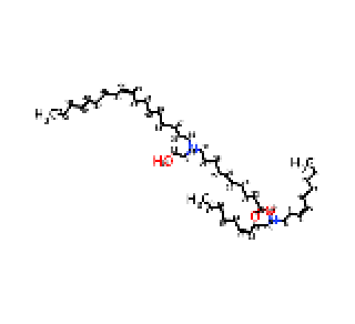 CCCCC/C=C\CCN(CC/C=C\CCCCC)OC(=O)CCCCCCCCCN(CCO)CCCCCCCC/C=C\CCCCCCCC